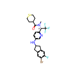 CN(C(=O)C1CCSCC1)[C@@H](c1ccc(NC2Cc3cc(F)c(Br)cc3C2)cn1)C(F)(F)F